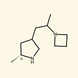 CC(CC1CN[C@H](C)C1)N1CCC1